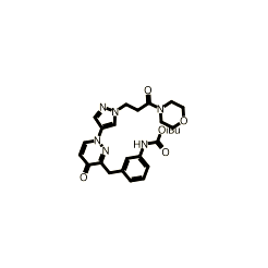 CC(C)COC(=O)Nc1cccc(Cc2nn(-c3cnn(CCC(=O)N4CCOCC4)c3)ccc2=O)c1